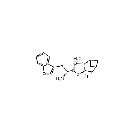 C[C@@]12OB([C@@H](N)Cc3coc4ccccc34)O[C@@H]1CC1CC2C1